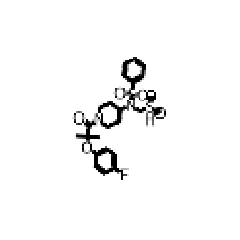 CC(C)(Oc1ccc(F)cc1)C(=O)N1CCC(N(C[SH](=O)=O)S(=O)(=O)c2ccccc2)CC1